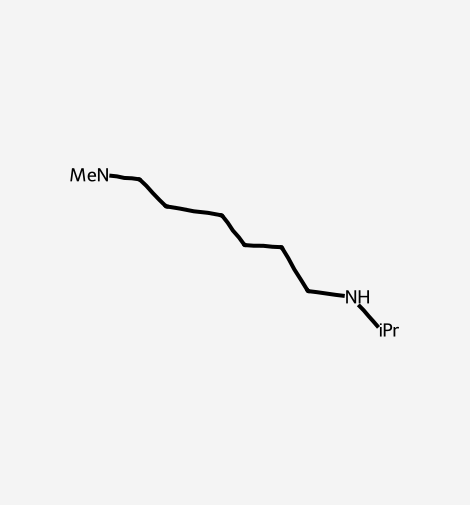 CNCCCCCCNC(C)C